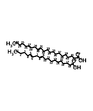 CCCCCC=CCC=CCCCCCCCCCC(=O)O.CCCCCC=CCC=CCCCCCCCCCCCC(=O)O